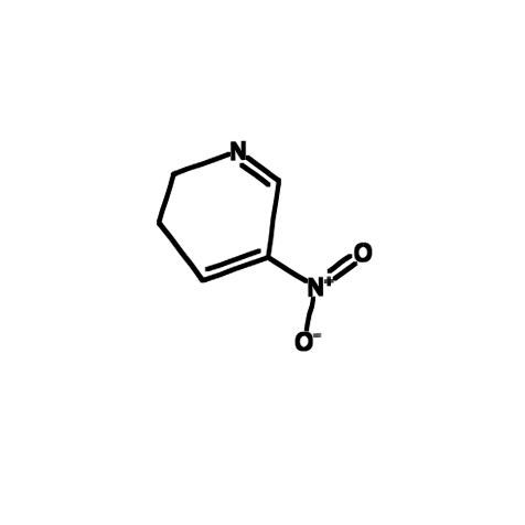 O=[N+]([O-])C1=CCCN=C1